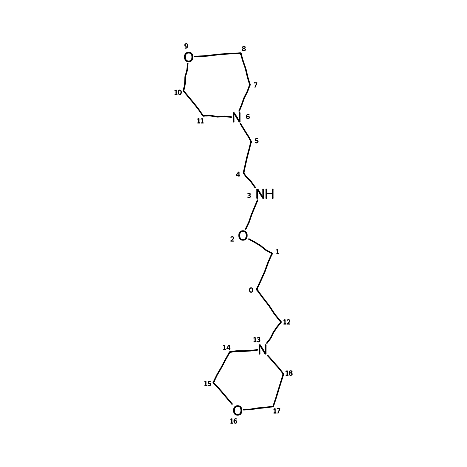 C(CONCCN1CCOCC1)CN1CCOCC1